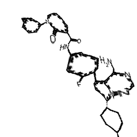 Nc1ncnn2c1c(-c1ccc(NC(=O)c3cccn(-c4ccccc4)c3=O)cc1F)cc2[C@H]1CC[C@H](O)CC1